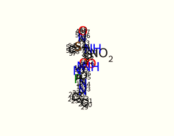 O=[N+]([O-])c1cc(S(=O)(=O)Nc2ncnc3c(F)c(N4CCN(Cc5ccccc5-c5ccccc5)CC4)ccc23)ccc1N[C@H](CCN1CCOCC1)CSc1ccccc1